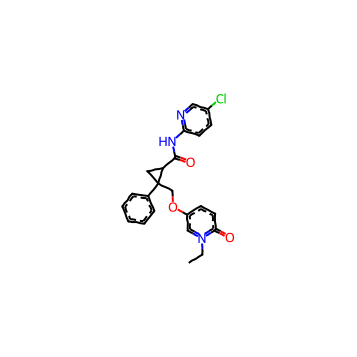 CCn1cc(OCC2(c3ccccc3)CC2C(=O)Nc2ccc(Cl)cn2)ccc1=O